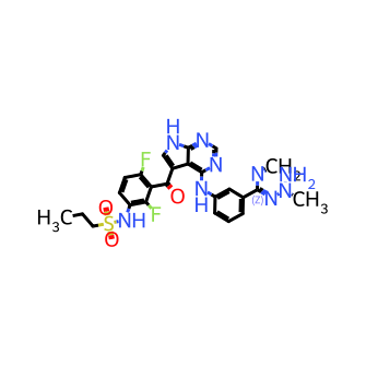 C=N/C(=N\N(C)N)c1cccc(Nc2ncnc3[nH]cc(C(=O)c4c(F)ccc(NS(=O)(=O)CCC)c4F)c23)c1